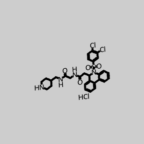 Cl.O=C(CNC(=O)CC1c2ccccc2-c2ccccc2N1S(=O)(=O)c1ccc(Cl)c(Cl)c1)NCC1CCNCC1